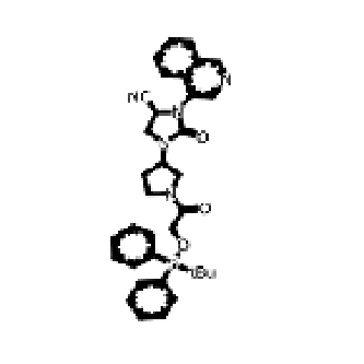 CC(C)(C)[Si](OCC(=O)N1CCC(N2CC(C#N)N(c3cncc4ccccc34)C2=O)C1)(c1ccccc1)c1ccccc1